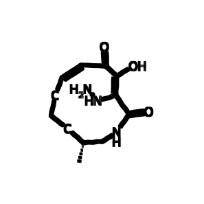 C[C@@H]1CCC/C=C\C(=O)/C(O)=C(\NN)C(=O)NC1